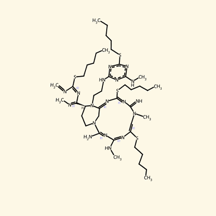 C=N/C(=N\C(=N/C)[C@@H]1CCN2C/C(=N\C(SCCCCC)=N/C(=N)N(C)/C=C(SCCCCC)/N=C(NC)\N=C\2N)N1CCNc1nc(NC)nc(SCCCCC)n1)SCCCCC